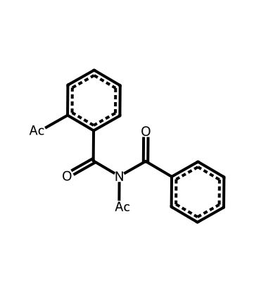 CC(=O)c1ccccc1C(=O)N(C(C)=O)C(=O)c1ccccc1